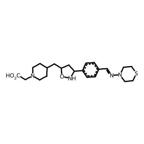 O=C(O)CN1CCC(CC2CC(c3ccc(C=NN4CCSCC4)cc3)NO2)CC1